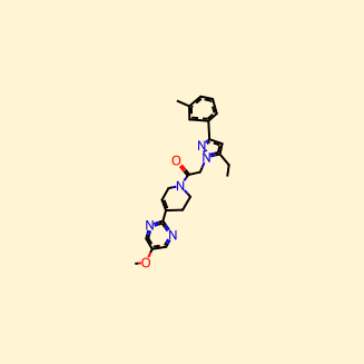 CCc1cc(-c2cccc(C)c2)nn1CC(=O)N1CC=C(c2ncc(OC)cn2)CC1